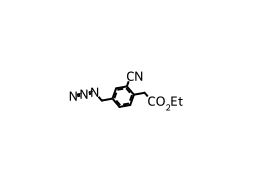 CCOC(=O)Cc1ccc(CN=[N+]=[N-])cc1C#N